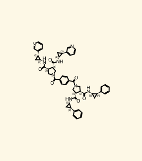 O=C(N[C@H]1C[C@@H]1c1ccccc1)[C@@H]1CN(C(=O)c2ccc(C(=O)N3C[C@@H](C(=O)N[C@@H]4C[C@H]4c4cccnc4)[C@H](C(=O)N[C@@H]4C[C@H]4c4cccnc4)C3)cc2)C[C@H]1C(=O)N[C@H]1C[C@@H]1c1ccccc1